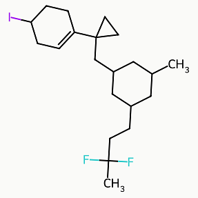 CC1CC(CCC(C)(F)F)CC(CC2(C3=CCC(I)CC3)CC2)C1